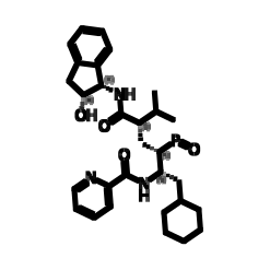 CC(C)[C@H](C[C@H](P=O)[C@H](CC1CCCCC1)NC(=O)c1ccccn1)C(=O)N[C@H]1c2ccccc2C[C@H]1O